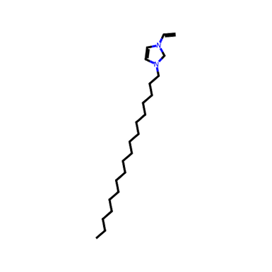 C=CN1C=CN(CCCCCCCCCCCCCCCCCC)C1